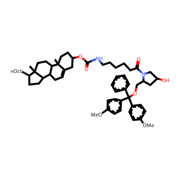 CCCCCCCCC1CCC2C3CC=C4CC(OC(=O)NCCCCCC(=O)N5CC(O)CC5COC(c5ccccc5)(c5ccc(OC)cc5)c5ccc(OC)cc5)CCC4(C)C3CCC12C